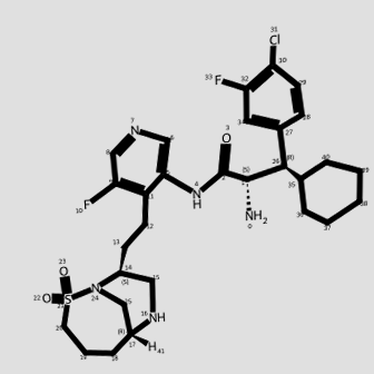 N[C@H](C(=O)Nc1cncc(F)c1CC[C@H]1CN[C@@H]2CCCS(=O)(=O)N1C2)[C@@H](c1ccc(Cl)c(F)c1)C1CCCCC1